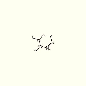 C/C=N\N(C)C(C)C